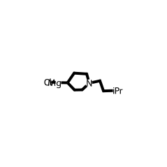 CC(C)CCN1CC[CH]([Mg][Cl])CC1